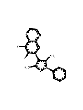 Cc1nn(-c2ccccc2)c(N)c1-c1cc2nccnc2c(F)c1F